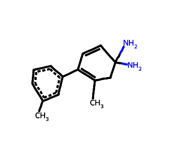 CC1=C(c2cccc(C)c2)C=CC(N)(N)C1